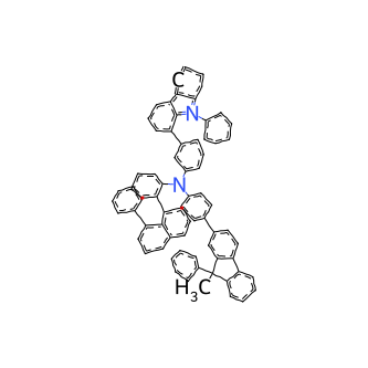 CC1(c2ccccc2)c2ccccc2-c2ccc(-c3ccc(N(c4cccc(-c5cccc6c7ccccc7n(-c7ccccc7)c56)c4)c4ccccc4-c4cccc5cccc(-c6ccccc6)c45)cc3)cc21